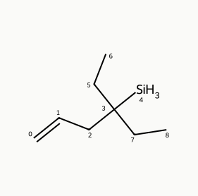 C=CCC([SiH3])(CC)CC